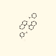 Cc1cccc(C(=O)Oc2ccc3ccccc3c2-c2c(OC(=O)c3ccccc3)ccc3ccccc23)c1